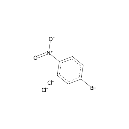 O=[N+]([O-])c1cc[c]([Bi])cc1.[Cl-].[Cl-]